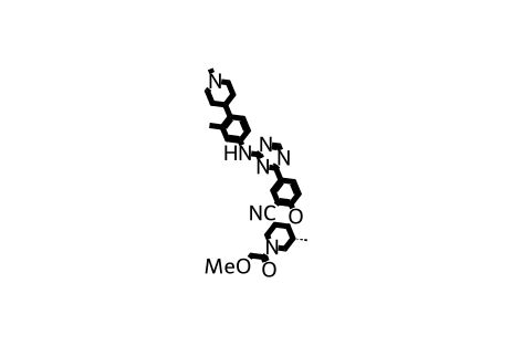 COCC(=O)N1CC[C@H](Oc2ccc(-c3ncnc(Nc4ccc(C5CCN(C)CC5)c(C)c4)n3)cc2C#N)[C@H](C)C1